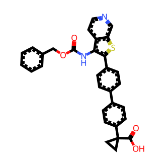 O=C(Nc1c(-c2ccc(-c3ccc(C4(C(=O)O)CC4)cc3)cc2)sc2cnccc12)OCc1ccccc1